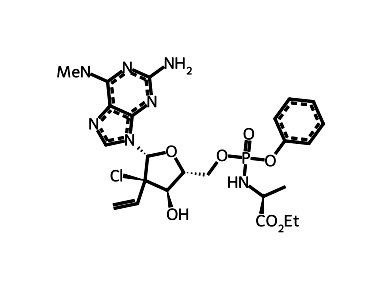 C=C[C@@]1(Cl)[C@H](O)[C@@H](COP(=O)(N[C@@H](C)C(=O)OCC)Oc2ccccc2)O[C@H]1n1cnc2c(NC)nc(N)nc21